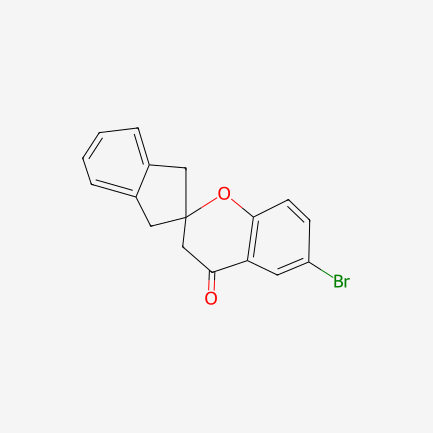 O=C1CC2(Cc3ccccc3C2)Oc2ccc(Br)cc21